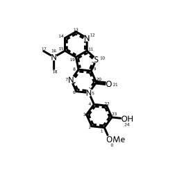 COc1ccc(-n2cnc3c(sc4nccc(N(C)C)c43)c2=O)cc1O